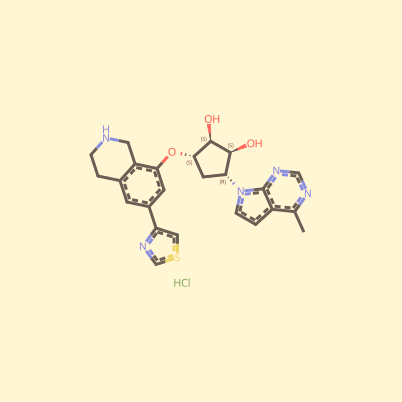 Cc1ncnc2c1ccn2[C@@H]1C[C@H](Oc2cc(-c3cscn3)cc3c2CNCC3)[C@@H](O)[C@H]1O.Cl